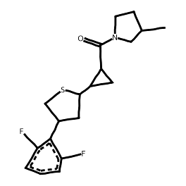 CC1CCN(C(=O)C2CC2C2CC(c3c(F)cccc3F)CS2)C1